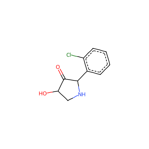 O=C1C(O)CNC1c1ccccc1Cl